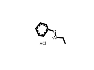 C[CH2][Al][O]c1ccccc1.Cl